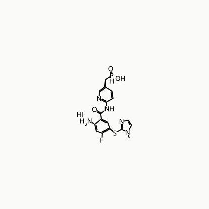 Cn1ccnc1Sc1cc(C(=O)Nc2ccc(C[PH](=O)O)cn2)c(N)cc1F.I